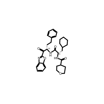 O=C(N[C@@H](CC1CCCCC1)C(=O)N[C@@H](CCc1ccccc1)C(=O)c1nc2ccccc2o1)C1CCOCC1